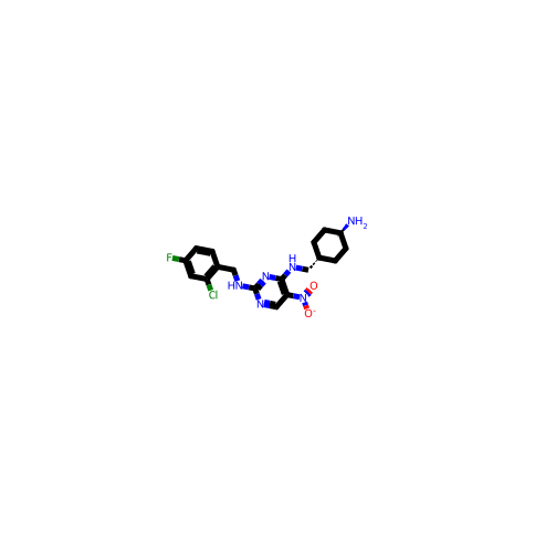 N[C@H]1CC[C@H](CNc2nc(NCc3ccc(F)cc3Cl)ncc2[N+](=O)[O-])CC1